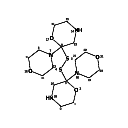 C1COC(SSC2(N3CCOCC3)CNCCO2)(N2CCOCC2)CN1